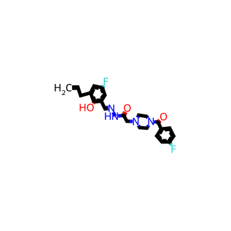 C=CCc1cc(F)cc(/C=N/NC(=O)CN2CCN(C(=O)c3ccc(F)cc3)CC2)c1O